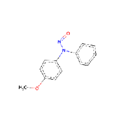 COc1ccc(N(N=O)c2ccccc2)cc1